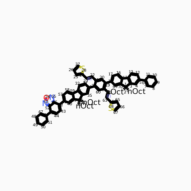 CCCCCCCCC1(CCCCCCCC)c2cc(-c3ccccc3)ccc2-c2ccc(-c3cc(/C=C/c4cccs4)c(-c4ccc5c(c4)C(CCCCCCCC)(CCCCCCCC)c4cc(-c6ccc(-c7ccccc7)c7nonc67)ccc4-5)cc3/C=C/c3cccs3)cc21